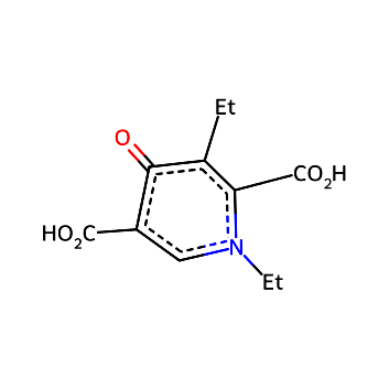 CCc1c(C(=O)O)n(CC)cc(C(=O)O)c1=O